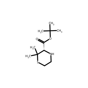 CC(C)(C)OC(=O)[C@@H]1NCCSC1(C)C